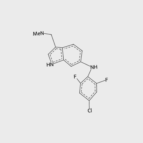 CNCc1c[nH]c2cc(Nc3c(F)cc(Cl)cc3F)ccc12